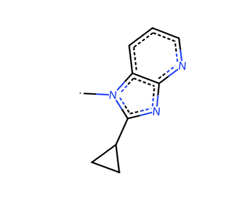 [CH2]n1c(C2CC2)nc2ncccc21